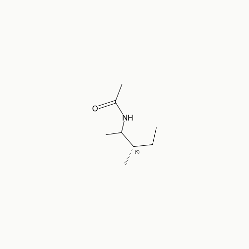 CC[C@H](C)C(C)NC(C)=O